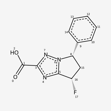 O=C(O)c1nc2n(n1)[C@H](c1ccccc1)C[C@@H]2F